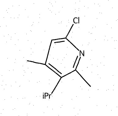 Cc1cc(Cl)nc(C)c1C(C)C